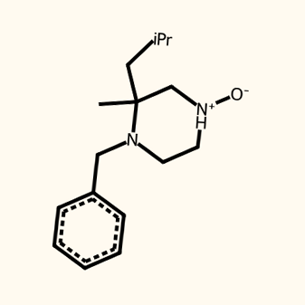 CC(C)CC1(C)C[NH+]([O-])CCN1Cc1ccccc1